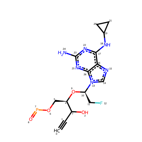 C#CC(O)[C@@H](COP=O)O[C@H](CF)n1cnc2c(NC3CC3)nc(N)nc21